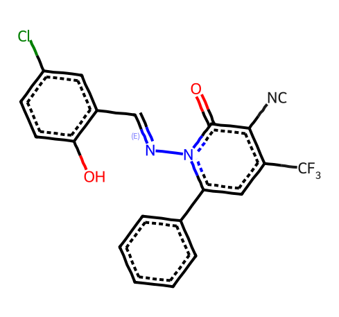 [C-]#[N+]c1c(C(F)(F)F)cc(-c2ccccc2)n(/N=C/c2cc(Cl)ccc2O)c1=O